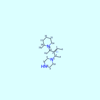 C/C=C(\C(C)N1CCNCC1)C(C)N1CCCCC1C